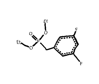 CCOP(=O)(Cc1cc(F)cc(F)c1)OCC